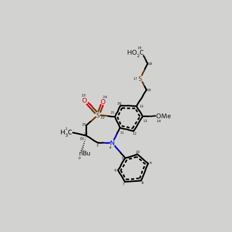 CCCC[C@@]1(C)CN(c2ccccc2)c2cc(OC)c(CSCC(=O)O)cc2S(=O)(=O)C1